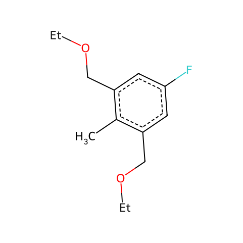 CCOCc1cc(F)cc(COCC)c1C